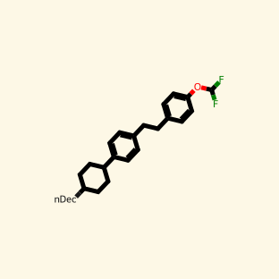 CCCCCCCCCCC1CCC(c2ccc(CCc3ccc(OC(F)F)cc3)cc2)CC1